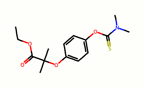 CCOC(=O)C(C)(C)Oc1ccc(OC(=S)N(C)C)cc1